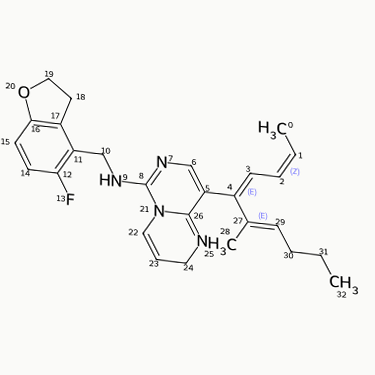 C\C=C/C=C(C1=CN=C(NCc2c(F)ccc3c2CCO3)N2C=CCN=C12)\C(C)=C\CCC